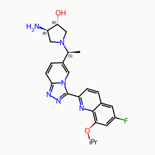 CC(C)Oc1cc(F)cc2ccc(-c3nnc4ccc([C@H](C)N5C[C@@H](N)[C@H](O)C5)cn34)nc12